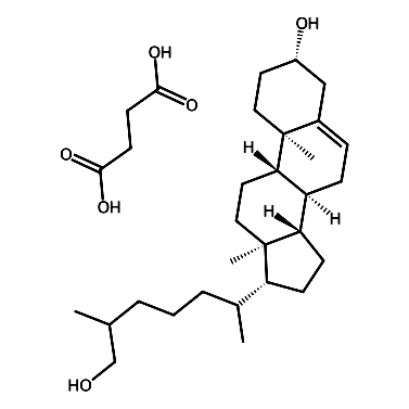 CC(CO)CCCC(C)[C@H]1CC[C@H]2[C@@H]3CC=C4C[C@@H](O)CC[C@]4(C)[C@H]3CC[C@]12C.O=C(O)CCC(=O)O